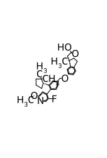 COc1cc(-c2ccc(COc3ccc4c(c3)[C@@](C)(CC(=O)O)CC4)cc2[C@H]2CCCC2(C)C)c(F)cn1